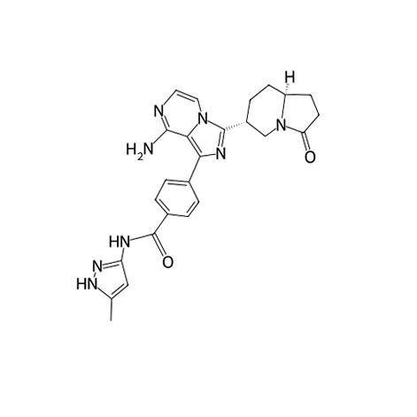 Cc1cc(NC(=O)c2ccc(-c3nc([C@@H]4CC[C@H]5CCC(=O)N5C4)n4ccnc(N)c34)cc2)n[nH]1